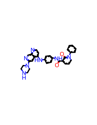 O=C(Nc1ccc(Nc2ccnc3cnc(N4CCNCC4)cc23)cc1)c1cccn(-c2ccccc2)c1=O